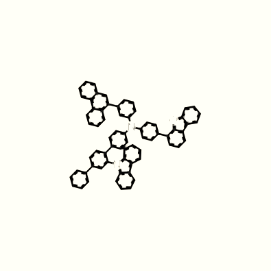 c1ccc(-c2ccc(-c3ccc(N(c4ccc(-c5cccc6c5oc5ccccc56)cc4)c4cccc(-c5cc6ccccc6c6ccccc56)c4)cc3)c(-n3c4ccccc4c4ccccc43)c2)cc1